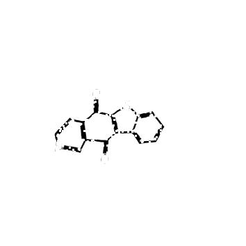 O=C1c2ccncc2C(=O)c2c1sc1ccccc21